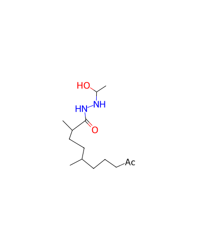 CC(=O)CCCC(C)CCC(C)C(=O)NNC(C)O